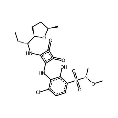 CC[C@@H](Nc1c(Nc2c(Cl)ccc(S(=O)(=O)N(C)OC)c2O)c(=O)c1=O)[C@H]1CC[C@@H](C)O1